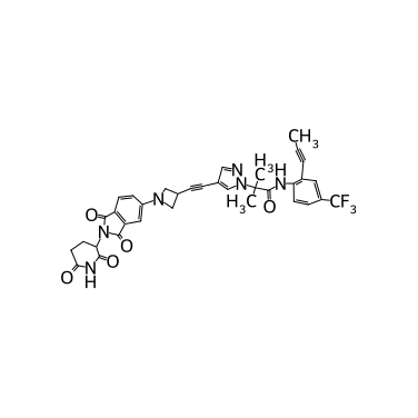 CC#Cc1cc(C(F)(F)F)ccc1NC(=O)C(C)(C)n1cc(C#CC2CN(c3ccc4c(c3)C(=O)N(C3CCC(=O)NC3=O)C4=O)C2)cn1